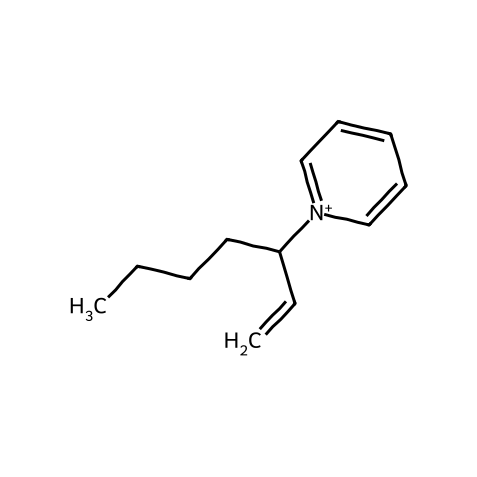 C=CC(CCCC)[n+]1ccccc1